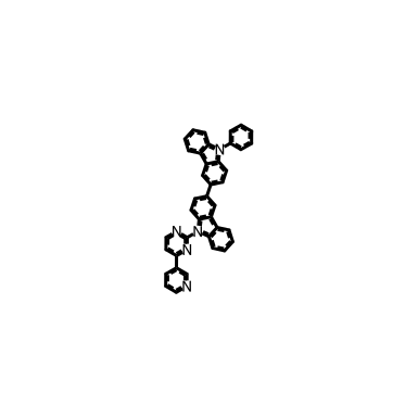 c1ccc(-n2c3ccccc3c3cc(-c4ccc5c(c4)c4ccccc4n5-c4nccc(-c5cccnc5)n4)ccc32)cc1